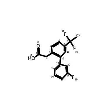 O=C(O)Cc1ccc(C(F)(F)F)cc1-c1cccc(F)c1